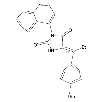 CC/C(=C1/NC(=O)N(c2cccc3ccccc23)C1=O)c1ccc(C(C)(C)C)cc1